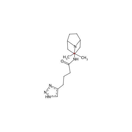 CC(C)N1C2CCC1CC(NC(=O)CCCc1c[nH]nn1)C2